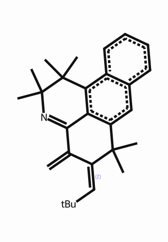 C=C1C2=NC(C)(C)C(C)(C)c3c2c(cc2ccccc32)C(C)(C)/C1=C/C(C)(C)C